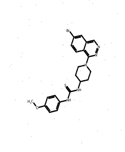 COc1ccc(NC(=S)NC2CCN(c3nncc4cc(Br)ccc34)CC2)cc1